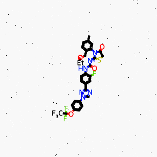 CCOCc1ccc(C)cc1N1C(=O)CS/C1=N\C(=O)Nc1ccc(-c2ncn(-c3ccc(OC(F)(F)C(F)(F)F)cc3)n2)cc1F